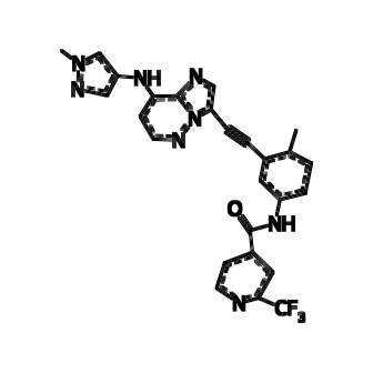 Cc1ccc(NC(=O)c2ccnc(C(F)(F)F)c2)cc1C#Cc1cnc2c(Nc3cnn(C)c3)ccnn12